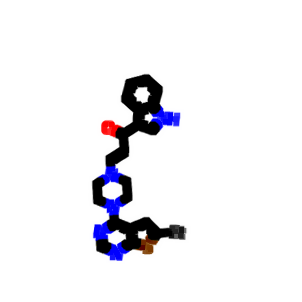 CCc1cc2c(N3CCN(C=CC(=O)c4c[nH]c5ccccc45)CC3)ncnc2s1